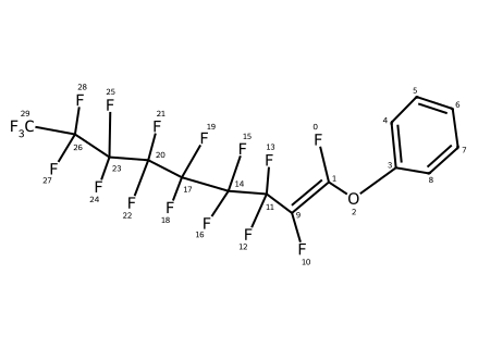 FC(Oc1ccccc1)=C(F)C(F)(F)C(F)(F)C(F)(F)C(F)(F)C(F)(F)C(F)(F)C(F)(F)F